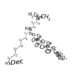 CCCCCCCCCCCCCCCCCC(=O)NCCCN(C)C.O=P([O-])([O-])[O-].O=P([O-])([O-])[O-].[Ca+2].[Ca+2].[Ca+2]